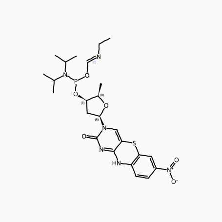 CC/N=C/OP(O[C@@H]1C[C@H](n2cc3c(nc2=O)Nc2ccc([N+](=O)[O-])cc2S3)O[C@@H]1C)N(C(C)C)C(C)C